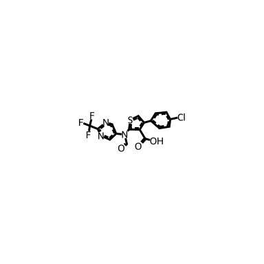 O=CN(c1cnc(C(F)(F)F)nc1)c1scc(-c2ccc(Cl)cc2)c1C(=O)O